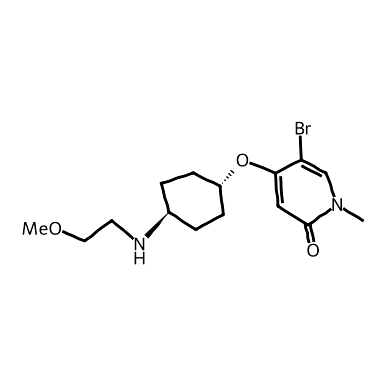 COCCN[C@H]1CC[C@H](Oc2cc(=O)n(C)cc2Br)CC1